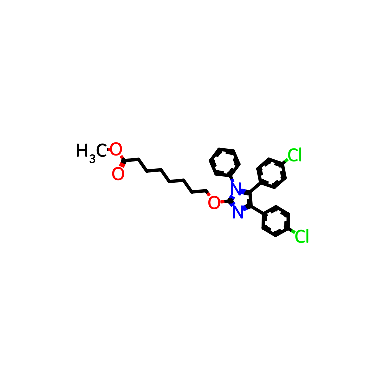 COC(=O)CCCCCCCOc1nc(-c2ccc(Cl)cc2)c(-c2ccc(Cl)cc2)n1-c1ccccc1